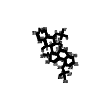 Cc1c2c(c(CC(C)(C)C)c3cnccc13)Sc1cc3cccc(CC(C)(C)C)c3c3cc[n+](C)c-2c13